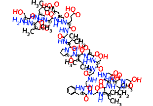 CC[C@H](C)[C@H](NC(=O)CNC(=O)[C@H](Cc1ccccc1)NC(=O)CNC(=O)CNC(=O)[C@H](CO)NC(=O)[C@H](CO)NC(=O)[C@@H](NC(=O)[C@@H]1CCCN1C(=O)[C@@H](NC(=O)CNC(=O)[C@H](CCC(=O)O)NC(=O)[C@H](CCC(=O)O)NC(=O)[C@H](CO)NC(=O)[C@H](CC(C)C)NC(=O)[C@@H](NC(=O)[C@@H](N)CO)[C@@H](C)CC)C(C)C)[C@@H](C)CC)C(=O)N[C@@H](CO)C(=O)NCC(=O)N[C@@H](CC(C)C)C(=O)NCC(=O)O